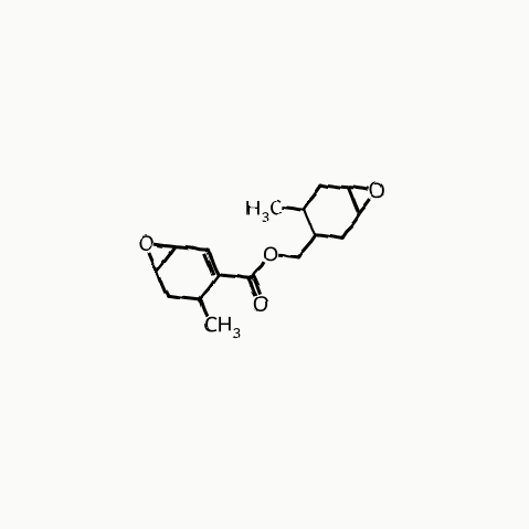 CC1CC2OC2C=C1C(=O)OCC1CC2OC2CC1C